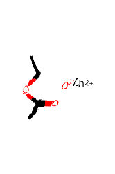 CCOC(C)=O.[O-2].[Zn+2]